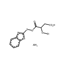 CCOC(CC(=O)O)C(=O)OSc1nc2ccccc2s1.[AlH3]